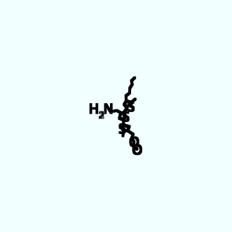 CCCCCCc1cc(-c2sc(-c3cc(CCOC=O)c(C)s3)cc2CCN)sc1C